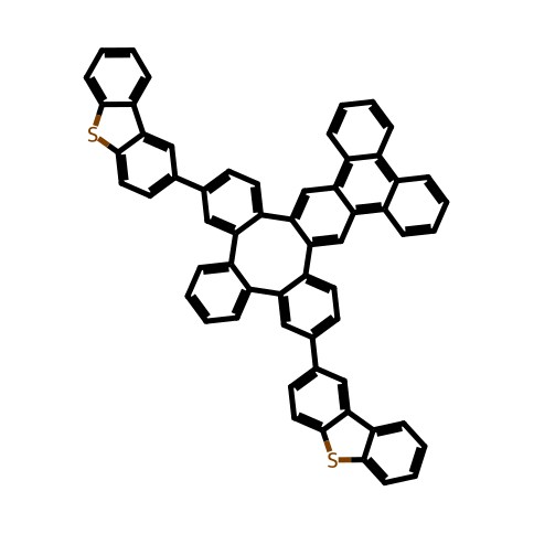 c1ccc2c(c1)-c1cc(-c3ccc4sc5ccccc5c4c3)ccc1-c1cc3c4ccccc4c4ccccc4c3cc1-c1ccc(-c3ccc4sc5ccccc5c4c3)cc1-2